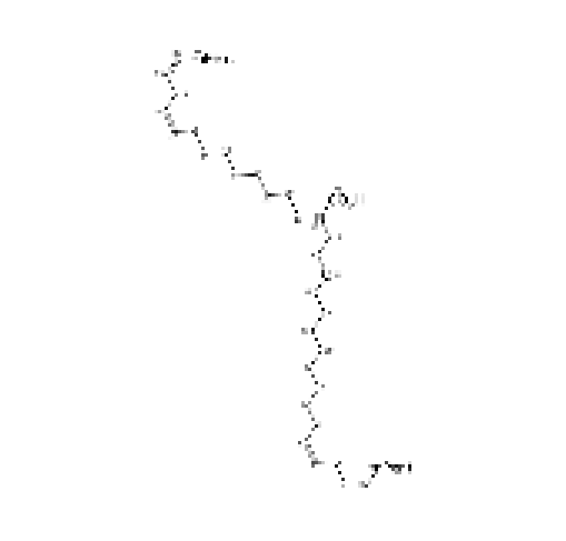 CCCCC/C=C\C/C=C\CCCCCCCCOCCN(CCCCCCCC/C=C\C/C=C\CCCCC)C(=O)O